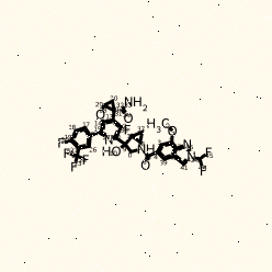 COc1cc(C(=O)NCC(O)(c2cc3c(c(-c4ccc(F)c(C(F)(F)F)c4)n2)OC2C[C@@]32C(N)=O)C2(F)CC2)cc2cn(C(F)F)nc12